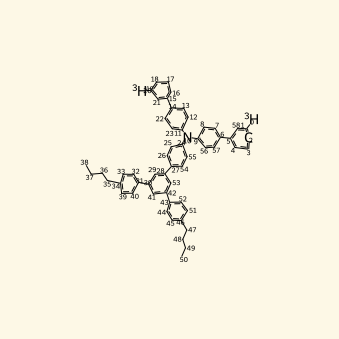 [3H]c1cccc(-c2ccc(N(c3ccc(-c4cccc([3H])c4)cc3)c3ccc(-c4cc(-c5ccc(CCCC)cc5)cc(-c5ccc(CCCC)cc5)c4)cc3)cc2)c1